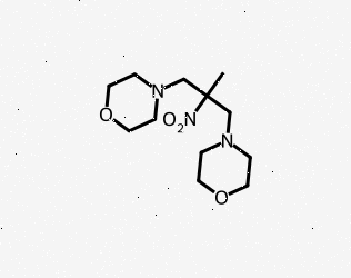 CC(CN1CCOCC1)(CN1CCOCC1)[N+](=O)[O-]